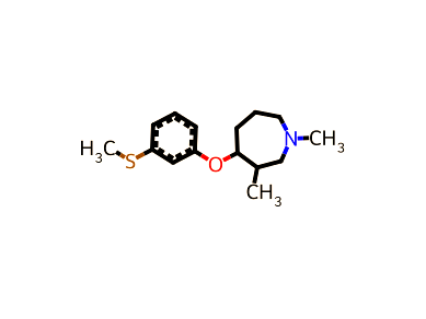 CSc1cccc(OC2CCCN(C)CC2C)c1